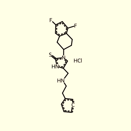 Cl.Fc1cc(F)c2c(c1)CC(n1cc(CNCCc3ccccc3)[nH]c1=S)CC2